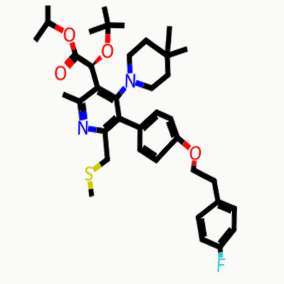 CSCc1nc(C)c([C@H](OC(C)(C)C)C(=O)OC(C)C)c(N2CCC(C)(C)CC2)c1-c1ccc(OCCc2ccc(F)cc2)cc1